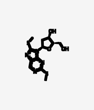 CSc1ncc2nc(SC)n([C@H]3C[C@@H](O)[C@H](CO)O3)c2n1